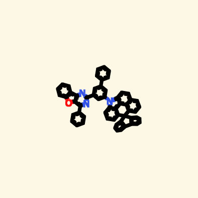 c1ccc(-c2cc(-c3nc(-c4ccccc4)c4oc5ccccc5c4n3)cc(-n3c4cccc5c4c4c6c(cccc6ccc43)C53c4ccccc4-c4ccccc43)c2)cc1